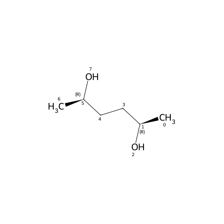 C[C@@H](O)CC[C@@H](C)O